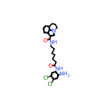 Nc1cc(Cl)c(Cl)cc1NC(=O)CCCCCCNC(=O)c1cn2c3c(cccc13)CCC2